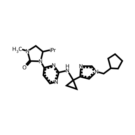 CC(C)C1CN(C)C(=O)N1c1ccnc(NC2(c3cn(CC4CCCC4)cn3)CC2)n1